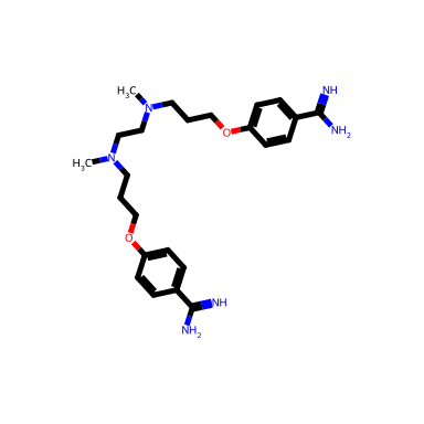 CN(CCCOc1ccc(C(=N)N)cc1)CCN(C)CCCOc1ccc(C(=N)N)cc1